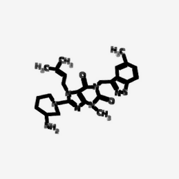 CC(C)=CCn1c(N2CCCC(N)C2)nc2c1c(=O)n(Cc1nsc3ccc(C)cc13)c(=O)n2C